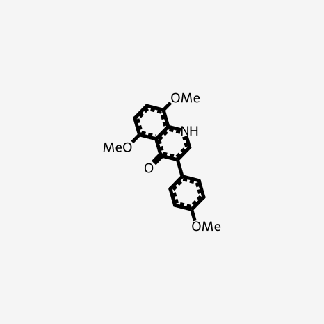 COc1ccc(-c2c[nH]c3c(OC)ccc(OC)c3c2=O)cc1